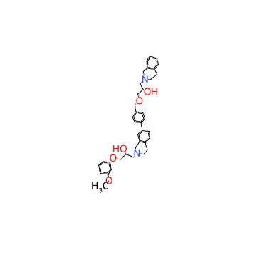 COc1cccc(OCC(O)CN2CCc3ccc(-c4ccc(COCC(O)CN5CCc6ccccc6C5)cc4)cc3C2)c1